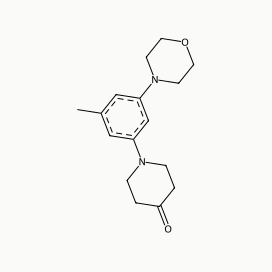 Cc1cc(N2CCOCC2)cc(N2CCC(=O)CC2)c1